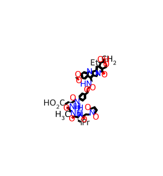 C=C1OCc2c(cc3n(c2=O)Cc2c-3nc3cc4c(cc3c2CNC(=O)OCc2ccc(NC(=O)[C@H](CCC(=O)O)NC(=O)[C@H](C)NC(=O)[C@@H](CC(C)C)NC(=O)CCN3C(=O)C=CC3=O)cc2)OCO4)[C@@]1(O)CC